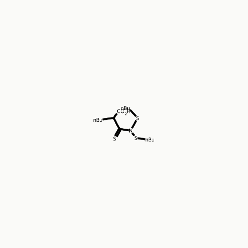 CCCCSN(SCCCC)C(=S)C(CCCC)C(=O)O